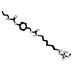 CCCNC(=O)Oc1ccc(COC(=O)NCCCCCCNOP(=O)(O)OC)cc1